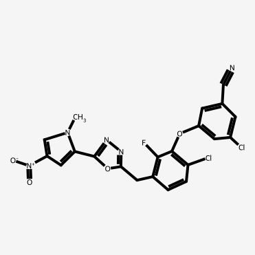 Cn1cc([N+](=O)[O-])cc1-c1nnc(Cc2ccc(Cl)c(Oc3cc(Cl)cc(C#N)c3)c2F)o1